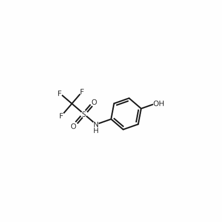 O=S(=O)(Nc1ccc(O)cc1)C(F)(F)F